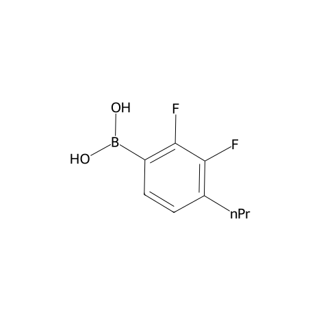 CCCc1ccc(B(O)O)c(F)c1F